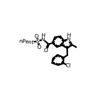 CCCCCS(=O)(=O)NC(=O)c1ccc2[nH]c(C)c(Cc3ccccc3Cl)c2c1